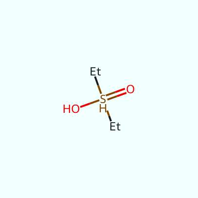 CC[SH](=O)(O)CC